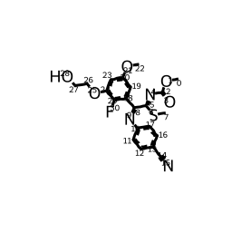 COC(=O)N=C(SC)C(=Nc1ccc(C#N)cc1)c1cc(OC)cc(OCCO)c1F